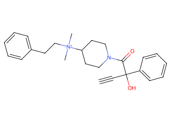 C#CC(O)(C(=O)N1CCC([N+](C)(C)CCc2ccccc2)CC1)c1ccccc1